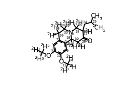 [2H]C([2H])([2H])Oc1cc2c(cc1OC([2H])([2H])[2H])C1([2H])N(C([2H])([2H])C([2H])(CC(C)C)C(=O)C1([2H])[2H])C([2H])([2H])C2([2H])[2H]